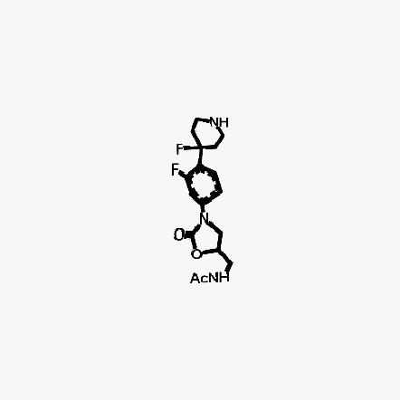 CC(=O)NCC1CN(c2ccc(C3(F)CCNCC3)c(F)c2)C(=O)O1